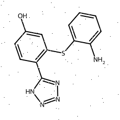 Nc1ccccc1Sc1cc(O)ccc1-c1nnn[nH]1